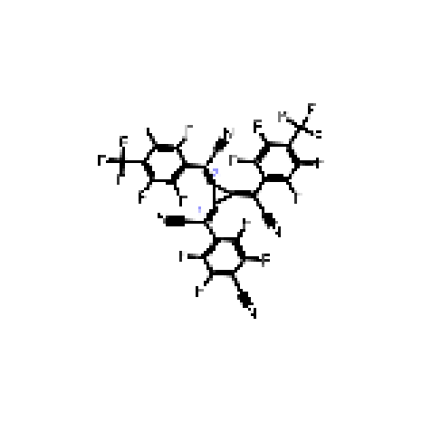 Cc1c(F)c(/C(C#N)=C2/C(=C(C#N)c3c(F)c(F)c(C(F)(F)F)c(F)c3F)/C2=C(/C#N)c2c(F)c(F)c(C#N)c(F)c2F)c(F)c(F)c1C(F)(F)F